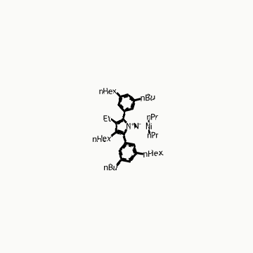 CCCCCCC1=C(c2cc(CCCC)cc(CCCCCC)c2)[N+](=[N-])C(c2cc(CCCC)cc(CCCCCC)c2)=C1CC.CC[CH2][Ni][CH2]CC